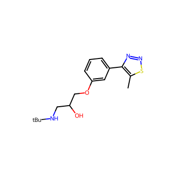 Cc1snnc1-c1cccc(OCC(O)CNC(C)(C)C)c1